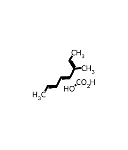 CC=CC=CC(C)=CC.O=C(O)O